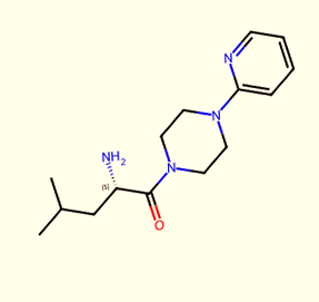 CC(C)C[C@H](N)C(=O)N1CCN(c2ccccn2)CC1